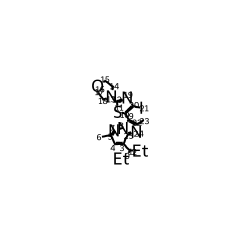 CCC(CC)c1cc(C)nn2c(-c3sc(N4CCOCC4)nc3I)c(C)nc12